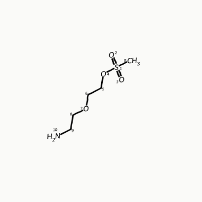 CS(=O)(=O)OCCOCCN